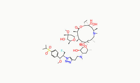 CC[C@H]1OC(=O)[C@H](C)C([C@H]2C[C@@](C)(OC)[C@@H](O)[C@H](C)O2)[C@H](C)[C@@H](O[C@@H]2O[C@H](C)C[C@H](N(C)CCc3cn([C@H](CF)[C@H](OC)c4ccc(S(=O)(=O)C(C)C)cc4)nn3)[C@H]2O)[C@](C)(O)C[C@@H](C)CN(C)[C@H](C)[C@@H](O)[C@]1(C)O